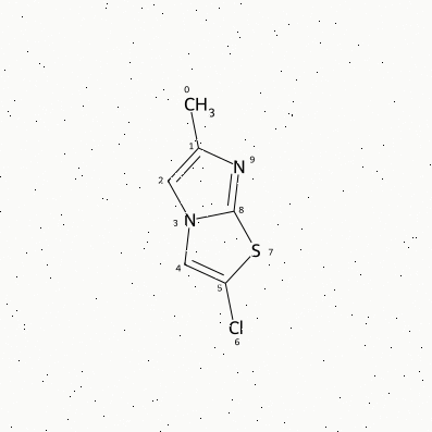 Cc1cn2cc(Cl)sc2n1